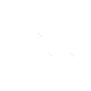 O=[N+]([O-])c1cc(C(F)(F)F)cc([N+](=O)[O-])c1Nc1cc(C(F)(F)F)cc(C(F)(F)F)c1